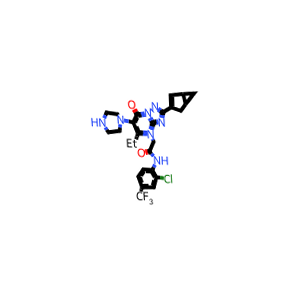 CCc1c(N2CCNCC2)c(=O)n2nc(C3=CC4CC4C3)nc2n1CC(=O)Nc1ccc(C(F)(F)F)cc1Cl